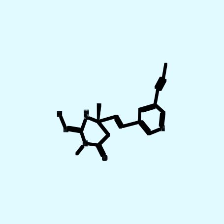 [H]/N=C1\N[C@](C)(C=Cc2cncc(C#CC)c2)CC(=O)N1C